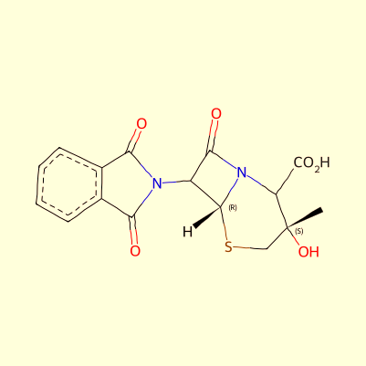 C[C@@]1(O)CS[C@@H]2C(N3C(=O)c4ccccc4C3=O)C(=O)N2C1C(=O)O